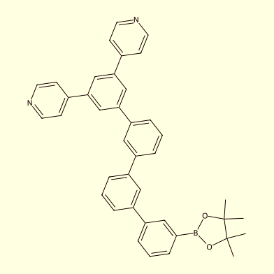 CC1(C)OB(c2cccc(-c3cccc(-c4cccc(-c5cc(-c6ccncc6)cc(-c6ccncc6)c5)c4)c3)c2)OC1(C)C